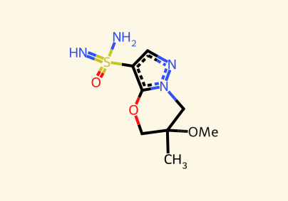 COC1(C)COc2c(S(=N)(N)=O)cnn2C1